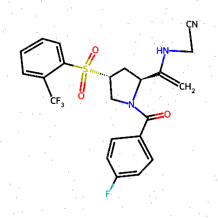 C=C(NCC#N)[C@@H]1C[C@@H](S(=O)(=O)c2ccccc2C(F)(F)F)CN1C(=O)c1ccc(F)cc1